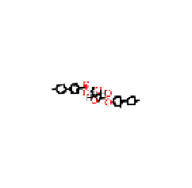 CC1CCC(c2ccc(OC(=O)[C@H]3CO[C@H]4[C@@H]3OC[C@H]4OC(=O)c3ccc(C4CCC(C)CC4)cc3)cc2)CC1